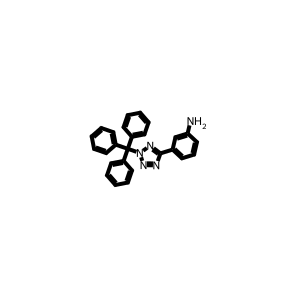 Nc1cccc(-c2nnn(C(c3ccccc3)(c3ccccc3)c3ccccc3)n2)c1